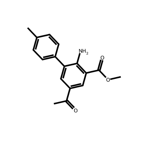 COC(=O)c1cc(C(C)=O)cc(-c2ccc(C)cc2)c1N